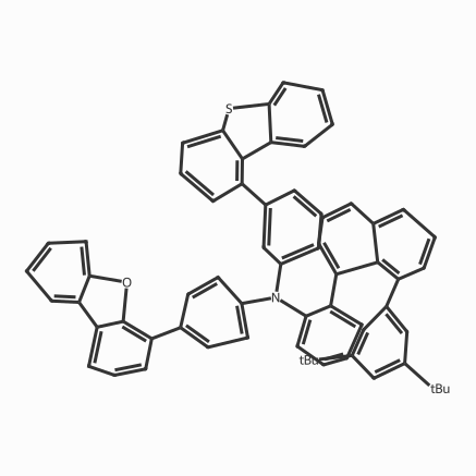 CC(C)(C)c1cc(-c2cccc3cccc(-c4ccccc4N(c4ccc(-c5cccc6c5oc5ccccc56)cc4)c4cccc(-c5cccc6sc7ccccc7c56)c4)c23)cc(C(C)(C)C)c1